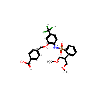 COCC(COC)c1ccccc1S(=O)(=O)Nc1ccc(C(F)(F)F)cc1OCc1ccc(C(=O)O)cc1